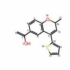 C=C(O)c1ccc2c(c1)C(c1cccs1)=CC(C)O2